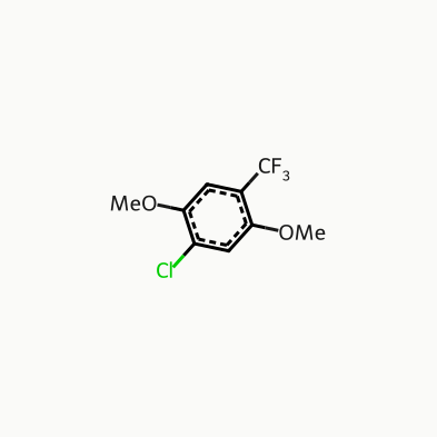 COc1cc(C(F)(F)F)c(OC)cc1Cl